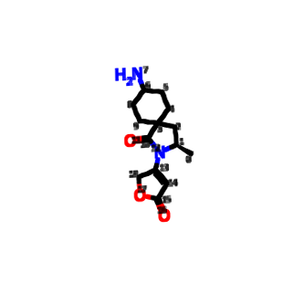 C[C@@H]1CC2(CCC(N)CC2)C(=O)N1C1=CC(=O)OC1